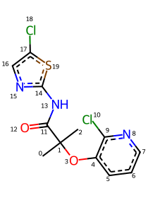 CC(C)(Oc1cccnc1Cl)C(=O)Nc1ncc(Cl)s1